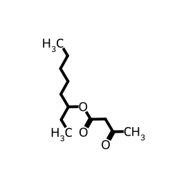 CCCCCC(CC)OC(=O)CC(C)=O